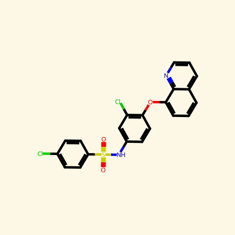 O=S(=O)(Nc1ccc(Oc2cccc3cccnc23)c(Cl)c1)c1ccc(Cl)cc1